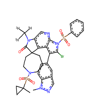 [2H]C([2H])([2H])N1C(=O)C2(CCCN(S(=O)(=O)C3(C)CC3)CC2)c2c1cnc1c2c(-c2ccc3c(cnn3C)c2)c(Br)n1S(=O)(=O)c1ccccc1